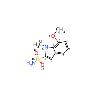 COc1cccc2cc(S(N)(=O)=O)n(C)c12